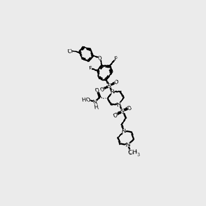 CN1CCN(CCS(=O)(=O)N2CCN(S(=O)(=O)c3cc(F)c(Oc4ccc(Cl)cc4)c(F)c3)[C@@H](C(=O)NO)C2)CC1